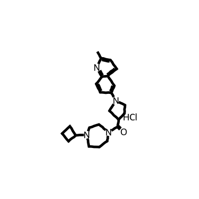 Cc1ccc2cc(N3CCC(C(=O)N4CCCN(C5CCC5)CC4)C3)ccc2n1.Cl